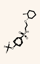 C[C@H]1CCCC[C@@H]1OCCNS(=O)(=O)c1ccc(OC(F)(F)F)cc1